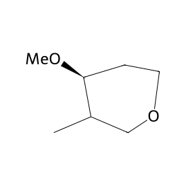 CO[C@H]1CCOCC1C